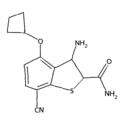 N#Cc1ccc(OC2CCC2)c2c1SC(C(N)=O)C2N